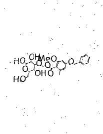 COc1cc(OCc2ccccc2)cc(C)c1C(=O)OCO[C@@H]1[C@@H](O)[C@@H](O)O[C@H](CO)[C@H]1O